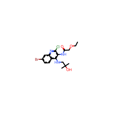 CCOCC(=O)Nc1c(Cl)nc2cc(Br)ccc2c1NCC(C)(C)O